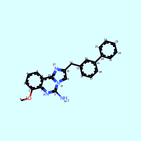 COc1cccc2c1nc(N)n1cc(Cc3cccc(-c4ccccc4)c3)nc21